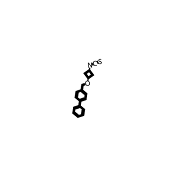 S=C=N[C@H]1C[C@@H](OCc2ccc(-c3ccccc3)cc2)C1